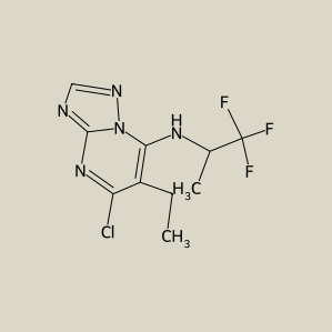 CCc1c(Cl)nc2ncnn2c1NC(C)C(F)(F)F